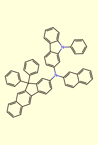 c1ccc(-n2c3ccccc3c3ccc(N(c4ccc5c(c4)C(c4ccccc4)(c4ccccc4)c4cc6ccccc6cc4-5)c4ccc5ccccc5c4)cc32)cc1